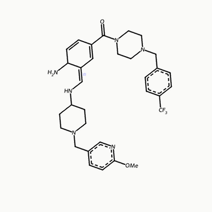 COc1ccc(CN2CCC(N/C=C3/C=C(C(=O)N4CCN(Cc5ccc(C(F)(F)F)cc5)CC4)C=CC3N)CC2)cn1